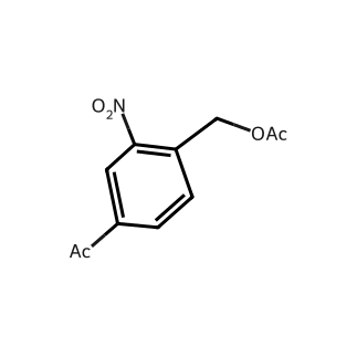 CC(=O)OCc1ccc(C(C)=O)cc1[N+](=O)[O-]